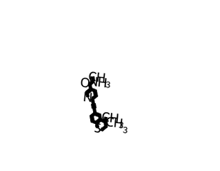 CNC(=O)c1ccc(C#Cc2ccc3c(c2)C(C)(C)CCS3)nc1